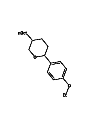 CCCCCCCCC1CCC(c2ccc(OCC)cc2)OC1